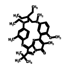 CCCCN(C)c1ccc(OC)c(-c2nc3n(c(=O)c2C)N=C(C(C)(C)C)/C3=N/c2ccc(N(CC)CCCC)cc2C)c1